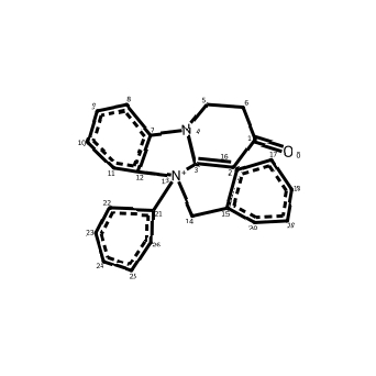 O=C1C=C2N(CC1)c1ccccc1[N+]2(Cc1ccccc1)c1ccccc1